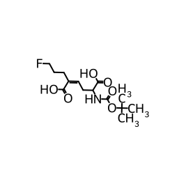 CC(C)(C)OC(=O)NC(CC=C(CCCF)C(=O)O)C(=O)O